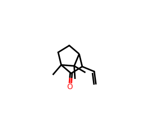 C=CC1C(=O)C2(C)CCC1C2(C)C